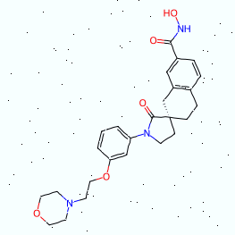 O=C(NO)c1ccc2c(c1)C[C@]1(CC2)CCN(c2cccc(OCCN3CCOCC3)c2)C1=O